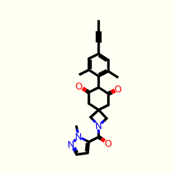 CC#Cc1cc(C)c(C2C(=O)CC3(CC2=O)CN(C(=O)c2ccnn2C)C3)c(C)c1